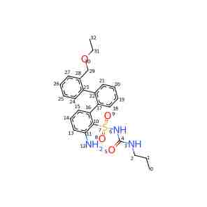 CCCNC(=O)NS(=O)(=O)c1c(N)cccc1-c1ccccc1-c1ccccc1COCC